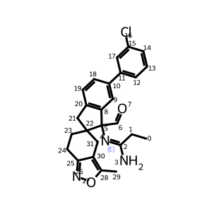 CC/C(N)=N\C1(C=O)c2cc(-c3cccc(Cl)c3)ccc2CC12CCc1noc(C)c1C2